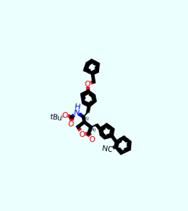 CC(C)(C)OC(=O)N[C@@H](Cc1ccc(OCc2ccccc2)cc1)C1COC(=O)[C@@H]1Cc1ccc(-c2ccccc2C#N)cc1